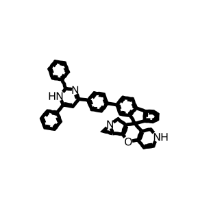 C1=CC2=C(CN1)C1(C3=C(O2)C2CN2C3)c2ccccc2-c2ccc(-c3ccc(C4=NC(c5ccccc5)NC(c5ccccc5)=C4)cc3)cc21